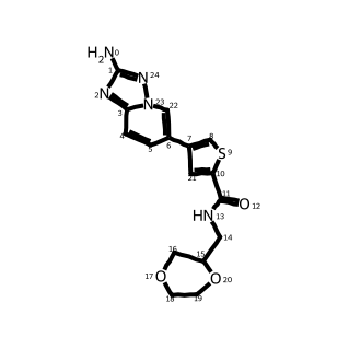 Nc1nc2ccc(-c3csc(C(=O)NCC4COCCO4)c3)cn2n1